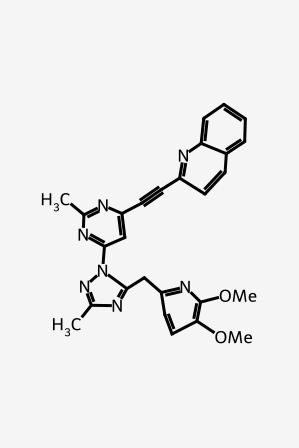 COc1ccc(Cc2nc(C)nn2-c2cc(C#Cc3ccc4ccccc4n3)nc(C)n2)nc1OC